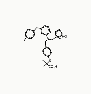 Cc1ccc(Cc2cc(N(Cc3ccc(SC(C)(C)C(=O)O)cc3)Cc3ccco3)ncn2)cc1.Cl